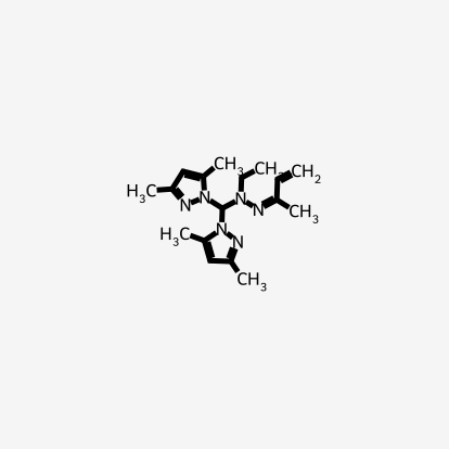 C=C/C(C)=N\N(CC)C(n1nc(C)cc1C)n1nc(C)cc1C